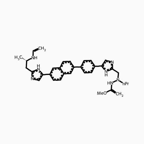 C=CN[C@@H](C)Cc1ncc(-c2ccc3cc(-c4ccc(-c5cnc(CN(CCC)NC(=C)OC)[nH]5)cc4)ccc3c2)[nH]1